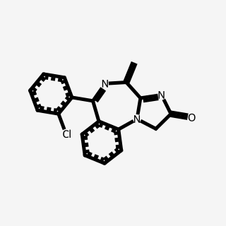 C=C1N=C(c2ccccc2Cl)c2ccccc2N2CC(=O)N=C12